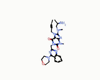 CC#CCn1c(N(C)CC(C)N)nc2c1c(=O)n(Cc1nc(N3CCOCC3)c3ccccc3n1)c(=O)n2C